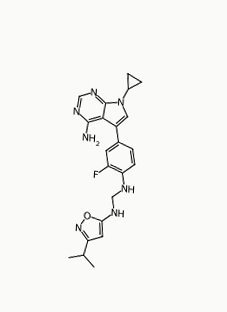 CC(C)c1cc(NCNc2ccc(-c3cn(C4CC4)c4ncnc(N)c34)cc2F)on1